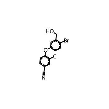 N#Cc1ccc(Oc2ccc(Br)c(CO)c2)c(Cl)c1